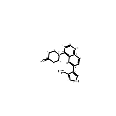 Cc1n[nH]cc1-c1ccc2ncnc(N3CCC(=O)CC3)c2c1